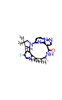 [2H]C1([2H])C[C@@H]2c3cc(F)cnc3C([2H])([2H])C([2H])([2H])[C@@H](C)NC(=O)c3cnn4ccc(nc34)N2C1